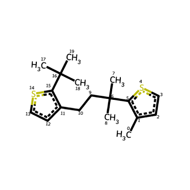 Cc1ccsc1C(C)(C)CCc1ccsc1C(C)(C)C